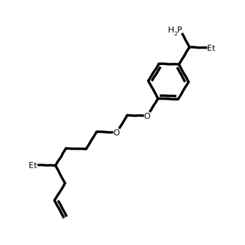 C=CCC(CC)CCCOCOc1ccc(C(P)CC)cc1